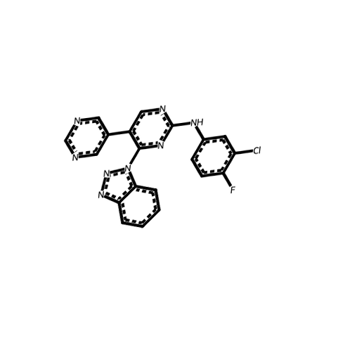 Fc1ccc(Nc2ncc(-c3cncnc3)c(-n3nnc4ccccc43)n2)cc1Cl